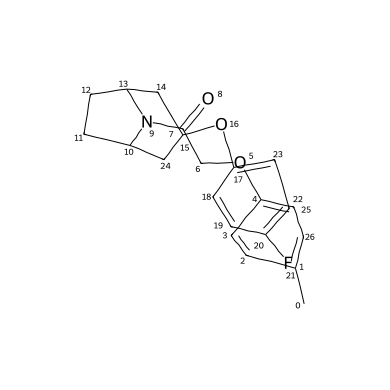 Cc1ccc(OCC(=O)N2C3CCC2CC(Oc2ccc(F)cc2)C3)cc1